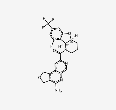 Nc1nc2cnc(C(=O)N3CCC[C@@H]4Oc5cc(C(F)(F)F)cc(F)c5[C@@H]43)cc2c2c1COC2